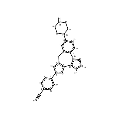 N#Cc1ccc(-c2cc3n(c2)Cc2cc(N4CCNCC4)ncc2-n2cnnc2-3)cc1